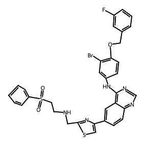 O=S(=O)(CCNCc1nc(-c2ccc3ncnc(Nc4ccc(OCc5cccc(F)c5)c(Br)c4)c3c2)cs1)c1ccccc1